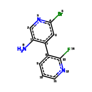 Nc1cnc(Br)cc1-c1cccnc1F